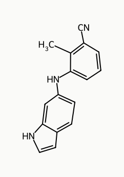 Cc1c(C#N)cccc1Nc1ccc2cc[nH]c2c1